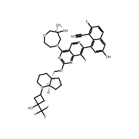 C#Cc1c(F)ccc2cc(O)cc(-c3ncc4c(N5CCOC[C@@](C)(O)C5)nc(OC[C@]56CCC[C@H]5N(C5CC(O)(C(F)(F)F)C5)CCC6)nc4c3F)c12